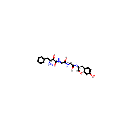 N[C@@H](Cc1ccccc1)C(=O)C(=O)NCC(=O)NCC(=O)N[C@H](C=O)Cc1ccc(O)cc1